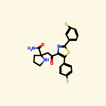 NC(=O)C1([CH]C(=O)c2nc(-c3cccc(F)c3)sc2-c2ccc(F)cc2)CCCN1